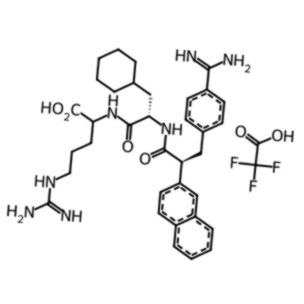 N=C(N)NCCCC(NC(=O)[C@H](CC1CCCCC1)NC(=O)[C@@H](Cc1ccc(C(=N)N)cc1)c1ccc2ccccc2c1)C(=O)O.O=C(O)C(F)(F)F